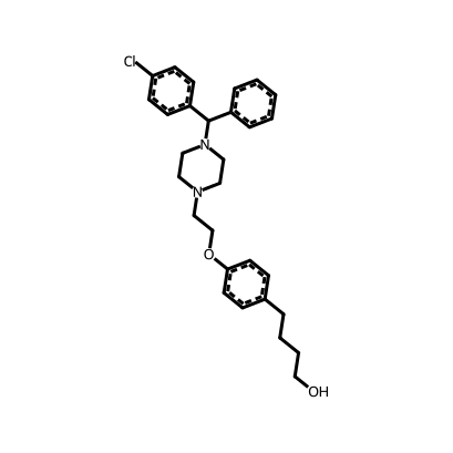 OCCCCc1ccc(OCCN2CCN(C(c3ccccc3)c3ccc(Cl)cc3)CC2)cc1